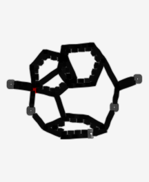 O=C1Oc2ccc(c(-c3ccccc3)c2)OC(=O)c2ccc1cc2